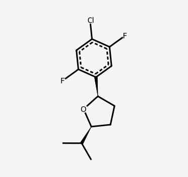 CC(C)[C@@H]1CC[C@H](c2cc(F)c(Cl)cc2F)O1